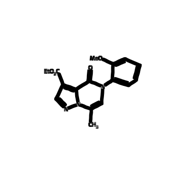 CCOC(=O)c1cnn2c(C)cn(-c3ccccc3OC)c(=O)c12